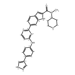 CN(C(=O)c1cc2ccc(-c3nccc(Nc4ccc(-c5cn[nH]c5)cc4)n3)cc2[nH]1)C1CCOCC1